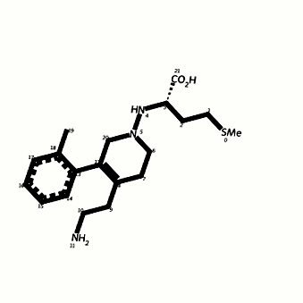 CSCC[C@H](NN1CCC(CCN)=C(c2ccccc2C)C1)C(=O)O